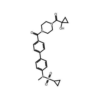 CN(c1ccc(-c2ccc(C(=O)N3CCN(C(=O)C4(O)CC4)CC3)cc2)cc1)S(=O)(=O)C1CC1